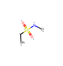 CCCCS(=O)(=O)[N]CC